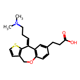 CN(C)CC/C=C1/c2cc(CCC(=O)O)ccc2OCc2ccsc21